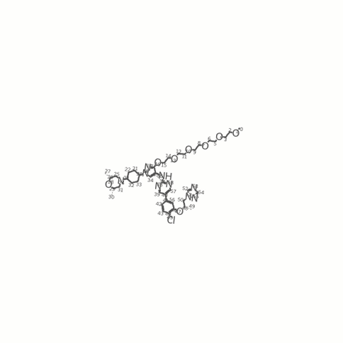 COCCOCCOCCOCCOCCOc1nn(C2CCC(N3C[C@@H](C)O[C@@H](C)C3)CC2)cc1Nc1ncc(-c2ccc(Cl)c(O[C@@H](C)Cn3cncn3)c2)cn1